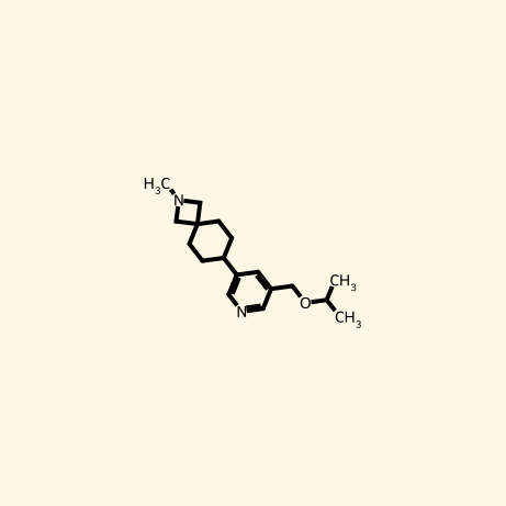 CC(C)OCc1cncc(C2CCC3(CC2)CN(C)C3)c1